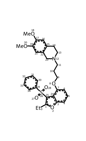 CCc1oc2cccc(OCCCN3CCc4cc(OC)c(OC)cc4C3)c2c1S(=O)(=O)c1ccccc1